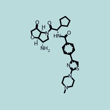 CN1CCN(c2nc(-c3ccc(C(=O)N[C@H](C(=O)N4C[C@H](N)[C@H]5OCC(=O)[C@H]54)C4CCCC4)cc3)cs2)CC1